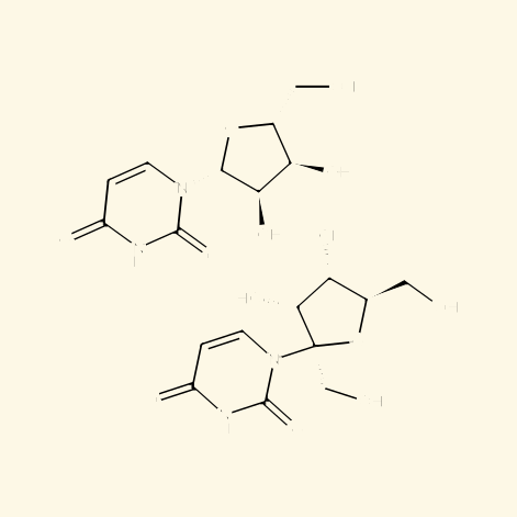 O=c1ccn([C@@H]2O[C@H](CO)[C@@H](O)[C@H]2O)c(=O)[nH]1.O=c1ccn([C@]2(CO)O[C@H](CO)[C@@H](O)[C@H]2O)c(=O)[nH]1